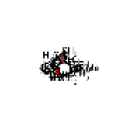 CC[C@H]1OC(=O)[C@H](C)[C@@H](O[C@H]2C[C@@](C)(OC)[C@@H](O)[C@H](C)O2)[C@H](C)[C@@H](O[C@@H]2O[C@H](C)C[C@H](N(C)CCc3cn([C@H](CF)[C@H](OC)c4ccc(SC(C)C)cc4)nn3)[C@H]2O)[C@](C)(O)C[C@@H](C)CN(C)[C@H](C)[C@@H](O)[C@]1(C)O